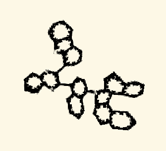 c1ccc2c(c1)ccc1c2c2c3ccccc3ccc2n1-c1ccc(-c2nc3ccccc3nc2-c2cccc3c2oc2ccccc23)c2ccccc12